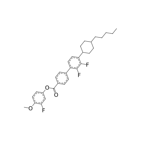 CCCCCC1CCC(c2ccc(-c3ccc(C(=O)Oc4ccc(OC)c(F)c4)cc3)c(F)c2F)CC1